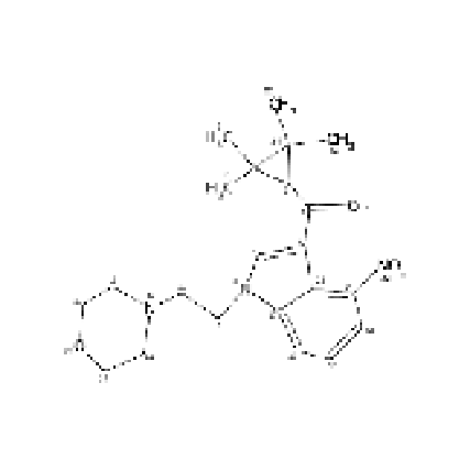 CC1(C)C(C(=O)c2cn(CCN3CCOCC3)c3cccc([N+](=O)[O-])c23)C1(C)C